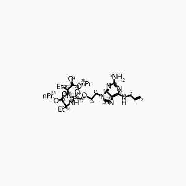 C=CCNc1nc(N)nc2c1ncn2CCOCP(=O)(NC(CC)C(=O)OCCC)NC(CC)C(=O)OCCC